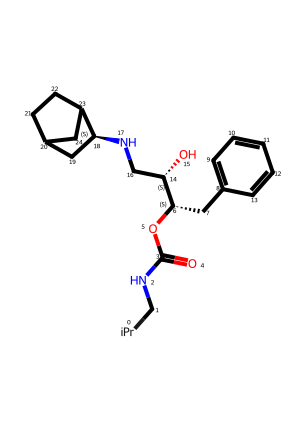 CC(C)CNC(=O)O[C@@H](Cc1ccccc1)[C@@H](O)CN[C@H]1CC2CCC1C2